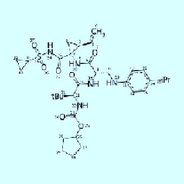 C=C[C@@H]1C[C@]1(NC(=O)[C@H](CNc1ccc(C(C)C)cc1)NC(=O)[C@@H](NC(=O)OC1CCCC1)C(C)(C)C)C(=O)NS(=O)(=O)C1CC1